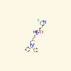 O=C(CCc1cncc(F)c1)NCCCCC1CCN(C(c2ccccc2)c2ccccc2)CC1